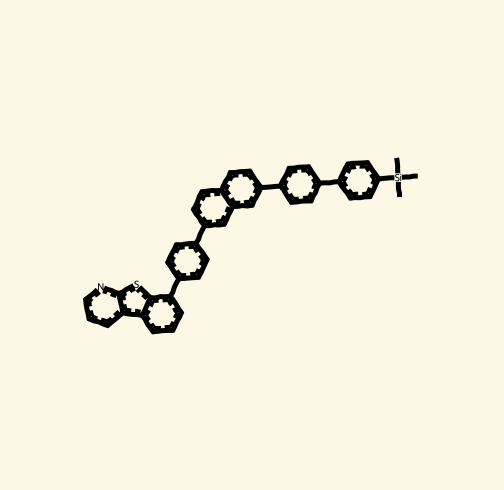 C[Si](C)(C)c1ccc(-c2ccc(-c3ccc4ccc(-c5ccc(-c6cccc7c6sc6ncccc67)cc5)cc4c3)cc2)cc1